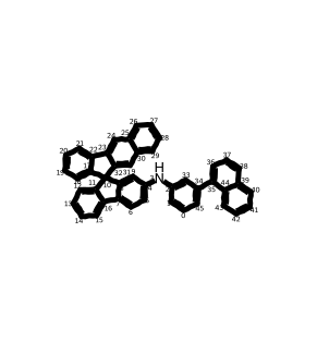 c1cc(Nc2ccc3c(c2)C2(c4ccccc4-3)c3ccccc3-c3cc4ccccc4cc32)cc(-c2cccc3ccccc23)c1